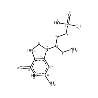 NCC(CCP(=O)(O)O)N1CNc2c1nc(N)[nH]c2=O